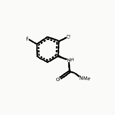 CNC(=O)Nc1ccc(F)cc1Cl